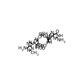 Cc1nc(N)c2nnn([C@@H]3O[C@@H]4COP(=O)(S)O[C@@H]5[C@H](F)[C@@H](COP(=O)(O)O[C@H]4[C@@H]3F)O[C@H]5n3cnc4c(=O)[nH]c(N)nc43)c2n1